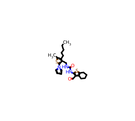 CCCCCc1c(C)sc(-n2cccc2)c1CNC(=O)Nc1sc2c(c1C=O)CCCC2